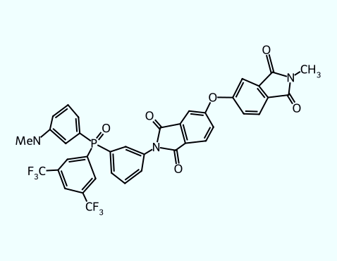 CNc1cccc(P(=O)(c2cccc(N3C(=O)c4ccc(Oc5ccc6c(c5)C(=O)N(C)C6=O)cc4C3=O)c2)c2cc(C(F)(F)F)cc(C(F)(F)F)c2)c1